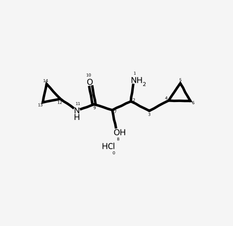 Cl.NC(CC1CC1)C(O)C(=O)NC1CC1